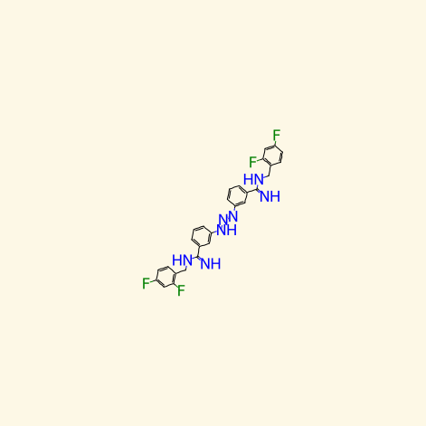 N=C(NCc1ccc(F)cc1F)c1cccc(/N=N/Nc2cccc(C(=N)NCc3ccc(F)cc3F)c2)c1